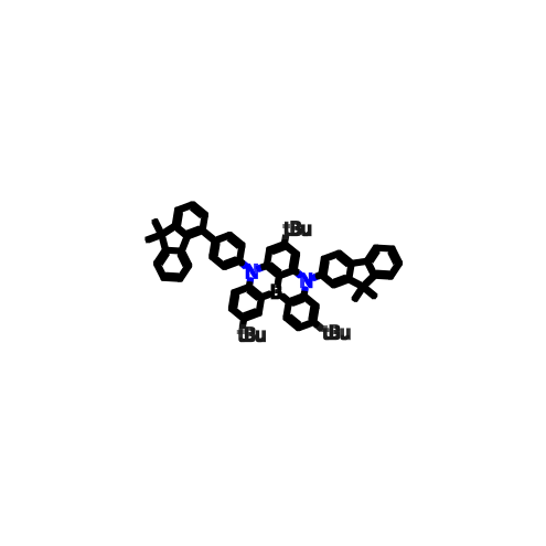 CC(C)(C)c1ccc2c(c1)B1c3ccc(C(C)(C)C)cc3N(c3ccc4c(c3)C(C)(C)c3ccccc3-4)c3cc(C(C)(C)C)cc(c31)N2c1ccc(-c2cccc3c2-c2ccccc2C3(C)C)cc1